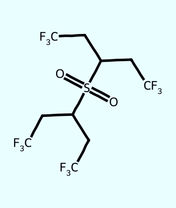 O=S(=O)(C(CC(F)(F)F)CC(F)(F)F)C(CC(F)(F)F)CC(F)(F)F